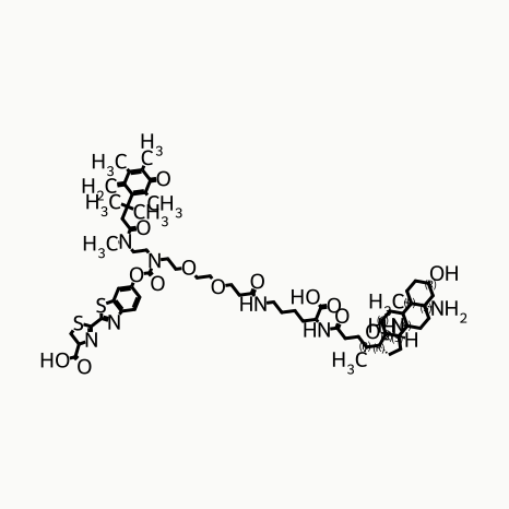 C=C1C(C)=C(C)C(=O)C(C)=C1C(C)(C)CC(=O)N(C)CCN(CCOCCOCCC(=O)NCCCCC(NC(=O)CC[C@@H](C)[C@H]1CC[C@@H]2[C@@]13O[C@H]3CC1[C@@]2(N)CC[C@]2(N)C[C@H](O)CC[C@]12C)C(=O)O)C(=O)Oc1ccc2nc(C3=NC(C(=O)O)CS3)sc2c1